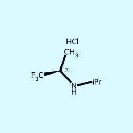 CC(C)N[C@H](C)C(F)(F)F.Cl